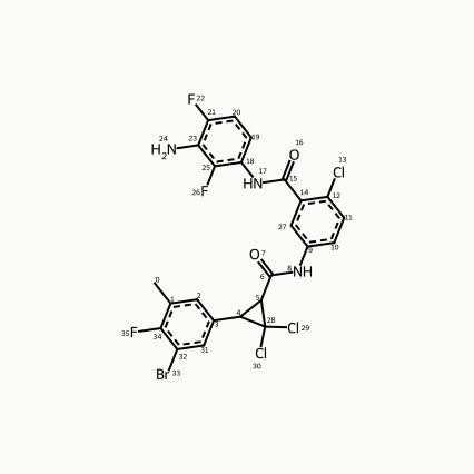 Cc1cc(C2C(C(=O)Nc3ccc(Cl)c(C(=O)Nc4ccc(F)c(N)c4F)c3)C2(Cl)Cl)cc(Br)c1F